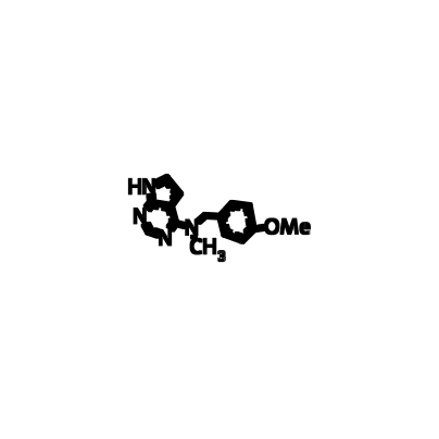 COc1ccc(CN(C)c2ncnc3[nH]ccc23)cc1